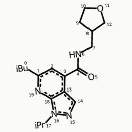 CCC(C)c1cc(C(=O)NCC2CCOC2)c2cnn(C(C)C)c2n1